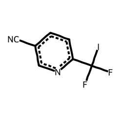 N#Cc1ccc(C(F)(F)I)nc1